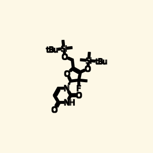 CC1(F)C(O[Si](C)(C)C(C)(C)C)=C(CO[Si](C)(C)C(C)(C)C)O[C@H]1n1ccc(=O)[nH]c1=O